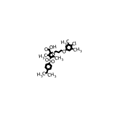 Cc1cc(OCCCn2c(C)c(S(=O)(=O)c3ccc(C(C)C)cc3)c(C)c2C(=O)O)cc(C)c1Cl